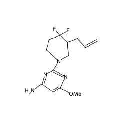 C=CCC1CN(c2nc(N)cc(OC)n2)CCC1(F)F